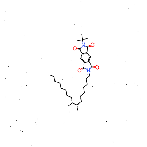 CCCCCCCCC(C)C(C)CCCCCCCn1c(=O)c2cc3c(=O)n(C(C)(C)C)c(=O)c3cc2c1=O